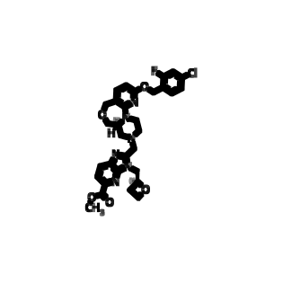 COC(=O)c1ccc2nc(CN3CCN4c5nc(OCc6ccc(Cl)cc6F)ccc5COC[C@@H]4C3)n(C[C@@H]3CCO3)c2n1